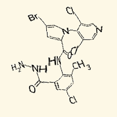 Cc1cc(Cl)cc(C(=O)NN)c1NC(=O)c1cc(Br)cn1-c1c(Cl)cncc1Cl